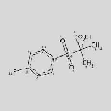 CCOC(=O)C(C)(C)S(=O)(=O)c1ccc(F)cc1